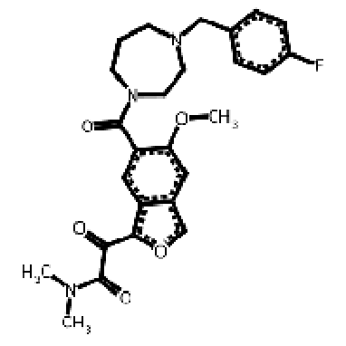 COc1cc2coc(C(=O)C(=O)N(C)C)c2cc1C(=O)N1CCCN(Cc2ccc(F)cc2)CC1